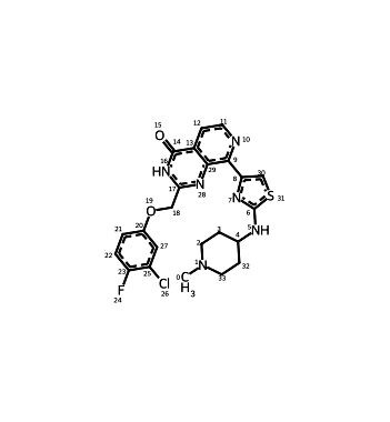 CN1CCC(Nc2nc(-c3nccc4c(=O)[nH]c(COc5ccc(F)c(Cl)c5)nc34)cs2)CC1